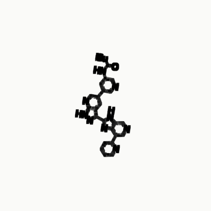 CCC(C)C(=O)Nc1cncc(-c2cnc3[nH]nc(-c4nc5c(-c6ccccn6)cncc5[nH]4)c3c2)c1